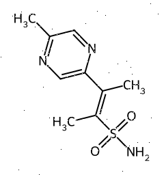 C/C(=C(/C)S(N)(=O)=O)c1cnc(C)cn1